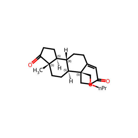 CCCOC[C@]12CCC(=O)C=C1CC[C@@H]1[C@@H]2CC[C@]2(C)C(=O)CC[C@@H]12